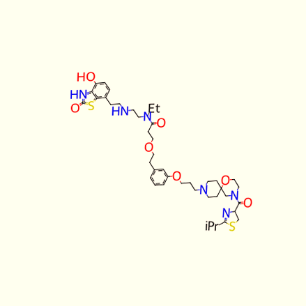 CCN(CCNCCc1ccc(O)c2[nH]c(=O)sc12)C(=O)CCOCCc1cccc(OCCCN2CCC3(CC2)CN(C(=O)C2CSC(C(C)C)=N2)CCO3)c1